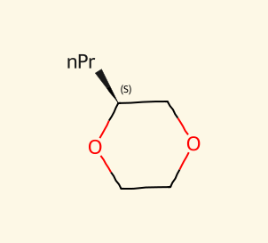 CCC[C@H]1COCCO1